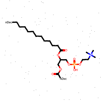 CCCCCCCCCCCCCCCCCCCCCC(=O)OC(COC(=O)CCCCCCCCCC)COP(=O)(O)OCC[N+](C)(C)C